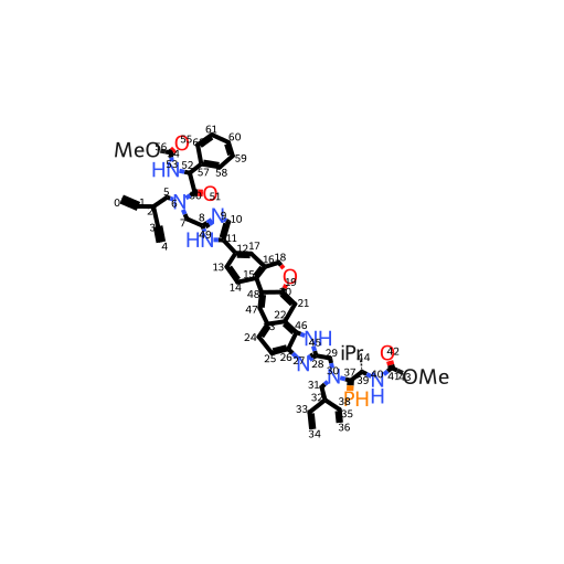 C#CC(C#C)CN(Cc1ncc(-c2ccc3c(c2)COc2cc4c(ccc5nc(CN(CC(C=C)C=C)C(=P)[C@@H](NC(=O)OC)C(C)C)[nH]c54)cc2-3)[nH]1)C(=O)C(NC(=O)OC)c1ccccc1